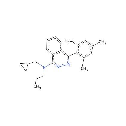 CCCN(CC1CC1)c1nnc(-c2c(C)cc(C)cc2C)c2ccccc12